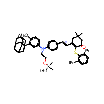 COc1ccc(N(CCO[Si](C)(C)C(C)(C)C)c2ccc(/C=C/C3=C(Sc4c(C(C)C)cccc4C(C)C)C(=O)CC(C)(C)C3)cc2)cc1C12CC3CC(CC(C3)C1)C2